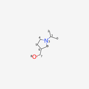 CC(C)N1CCC(C[O])C1